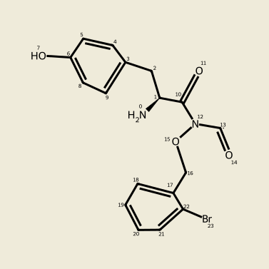 N[C@@H](Cc1ccc(O)cc1)C(=O)N([C]=O)OCc1ccccc1Br